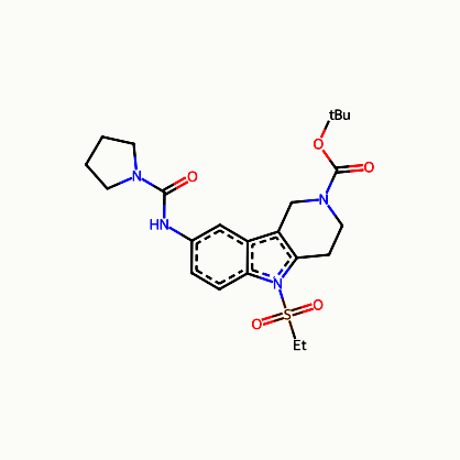 CCS(=O)(=O)n1c2c(c3cc(NC(=O)N4CCCC4)ccc31)CN(C(=O)OC(C)(C)C)CC2